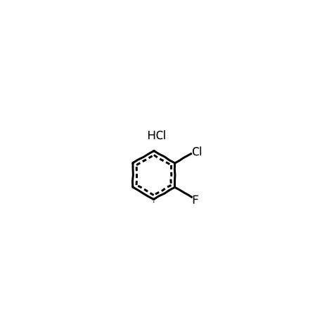 Cl.Fc1[c]cccc1Cl